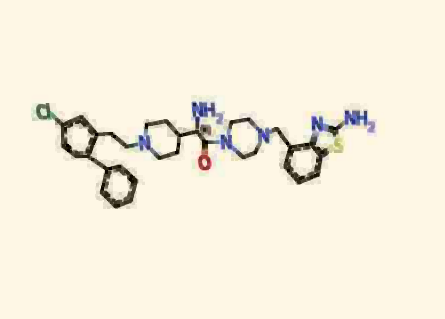 Nc1nc2c(CN3CCN(C(=O)[C@H](N)C4CCN(CCc5cc(Cl)ccc5-c5ccccc5)CC4)CC3)cccc2s1